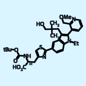 CCn1c(-c2cccnc2COC)c(CC(C)(C)CO)c2cc(-c3nc(C[C@H](NC(=O)OC(C)(C)C)C(=O)O)cs3)ccc21